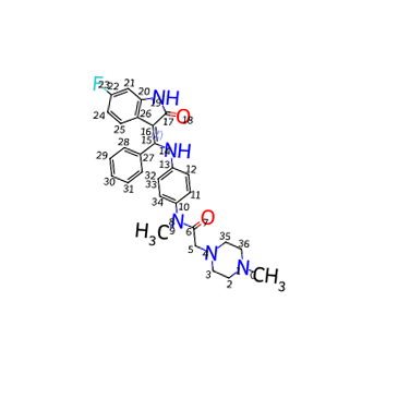 CN1CCN(CC(=O)N(C)c2ccc(N/C(=C3\C(=O)Nc4cc(F)ccc43)c3ccccc3)cc2)CC1